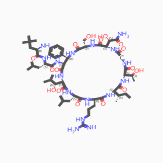 CC[C@H](C)[C@@H]1NC(=O)[C@@H](CCCNC(=N)N)NC(=O)[C@H](CC(C)C)NC(=O)[C@H]([C@H](O)C(C)C)NC(=O)[C@@H](NC(=O)[C@H](CC(C)C)NC(=O)[C@H](N)CC(C)(C)C)[C@@H](c2ccccc2)NC(=O)[C@H](CO)NC(=O)[C@H]([C@H](O)C(N)=O)NC(=O)CNC(=O)[C@H]([C@H](C)O)NC1=O